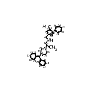 Cc1cc(CNCC(C)N2CCN(C(c3ccccc3)c3ccccc3)CC2)nn1-c1ccccc1